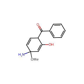 COC1(N)C=CC(C(=O)c2ccccc2)C(O)=C1